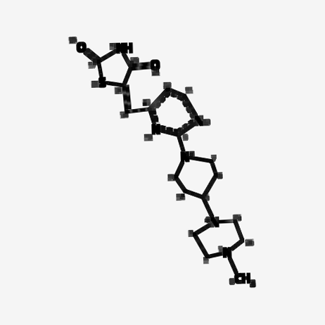 CN1CCN(C2CCN(c3nccc(C=C4SC(=O)NC4=O)n3)CC2)CC1